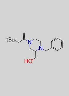 C=C(CC(C)(C)C)N1CCN(Cc2ccccc2)C(CO)C1